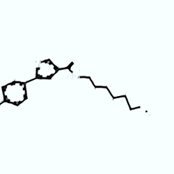 CC(=O)SCCCCCCNC(=O)c1c[nH]c(-c2ccc(F)cc2)c1